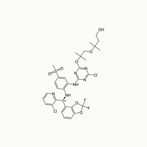 CC(C)(CCO)OCC(C)(C)Oc1nc(Cl)nc(Nc2cc(S(C)(=O)=O)ccc2N[C@@H](c2cccc3c2OC(F)(F)O3)c2ncccc2Cl)n1